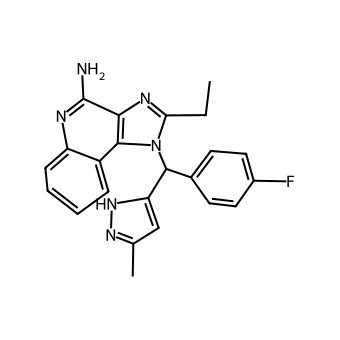 CCc1nc2c(N)nc3ccccc3c2n1C(c1ccc(F)cc1)c1cc(C)n[nH]1